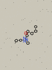 Cc1cccc(-c2ccc(-c3nc(-c4ccccc4)nc(-c4ccc5c(c4)oc4cccc(-c6cccc(-c7cccc(-c8ccccc8)c7)c6)c45)n3)cc2)c1